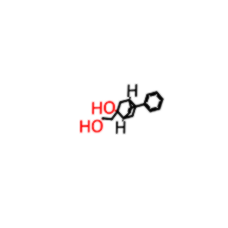 OCC[C@]1(O)C[C@H]2CC[C@@H]1C=C2c1ccccc1